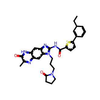 CCC1C=C=CC(c2ccc(C(=O)Nc3nc4cc5[nH]c(=O)c(C)nc5cc4n3CCCN3CCCC3=O)s2)=C1